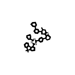 CC1Cc2sc3c(c2C=C1c1cccc(-c2ccccc2)c1)=C(c1ccc(-c2nc(-c4ccccc4)nc(-c4cccc5c4-c4ccccc4C5(C)C)n2)cc1)CCC=3